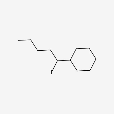 CCCCC(I)C1CCCCC1